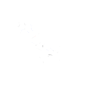 O=C(Cn1nnc2cccnc21)Nc1ccc(-n2nc(C(F)C(F)F)cc2C2CC2)cc1